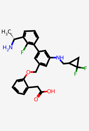 C[C@@H](N)c1cccc(-c2cc(COc3ccccc3CC(=O)O)cc(NCC3CC3(F)F)c2)c1F